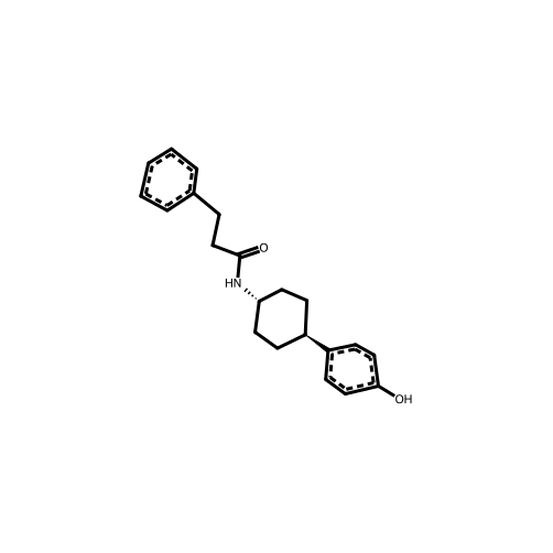 O=C(CCc1ccccc1)N[C@H]1CC[C@H](c2ccc(O)cc2)CC1